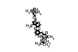 COC(=O)C(Cc1cccc(Oc2ccnc3c2c(C)cn3COCC[Si](C)(C)C)c1)NC(=O)OC(C)(C)C